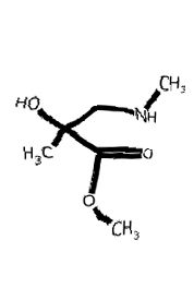 CNCC(C)(O)C(=O)OC